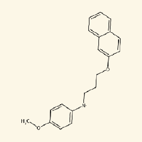 COc1ccc([N]CCCOc2ccc3ccccc3c2)cc1